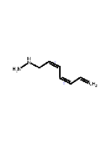 C=C/C=C\C=C/CNN